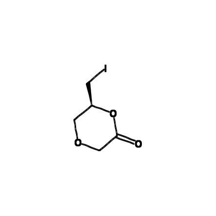 O=C1COC[C@@H](CI)O1